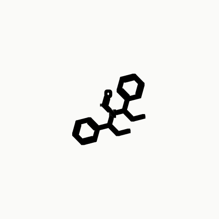 CCC(c1ccccc1)N([C]=O)C(CC)c1ccccc1